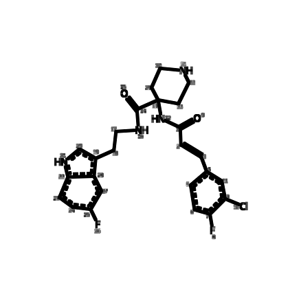 O=C(C=Cc1ccc(F)c(Cl)c1)NC1(C(=O)NCCc2c[nH]c3ccc(F)cc23)CCNCC1